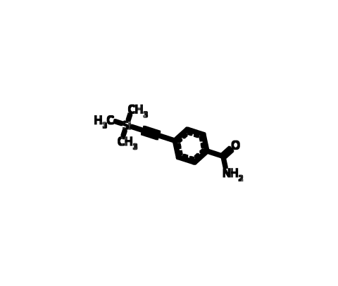 C[Si](C)(C)C#Cc1ccc(C(N)=O)cc1